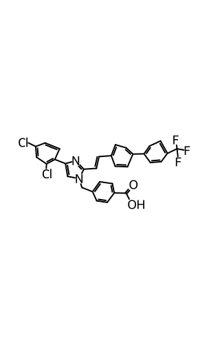 O=C(O)c1ccc(Cn2cc(-c3ccc(Cl)cc3Cl)nc2/C=C/c2ccc(-c3ccc(C(F)(F)F)cc3)cc2)cc1